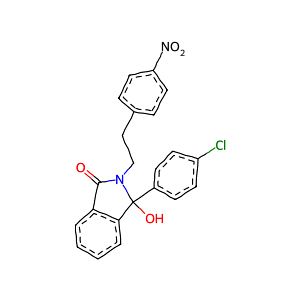 O=C1c2ccccc2C(O)(c2ccc(Cl)cc2)N1CCc1ccc([N+](=O)[O-])cc1